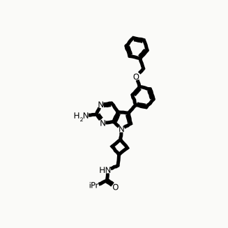 CC(C)C(=O)NCC1CC(n2cc(-c3cccc(OCc4ccccc4)c3)c3cnc(N)nc32)C1